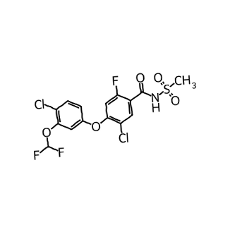 CS(=O)(=O)NC(=O)c1cc(Cl)c(Oc2ccc(Cl)c(OC(F)F)c2)cc1F